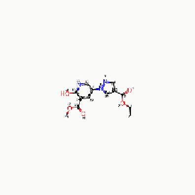 CCOC(=O)c1cnn(-c2cnc(O)c(C(=O)OC)c2)c1